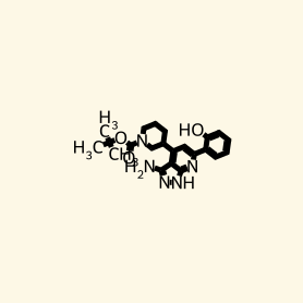 CC(C)(C)OC(=O)N1CCCC(c2cc(-c3ccccc3O)nc3[nH]nc(N)c23)C1